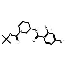 CC(C)(C)OC(=O)N1CCC[C@@H](NC(=O)c2ccc(Br)cc2N)C1